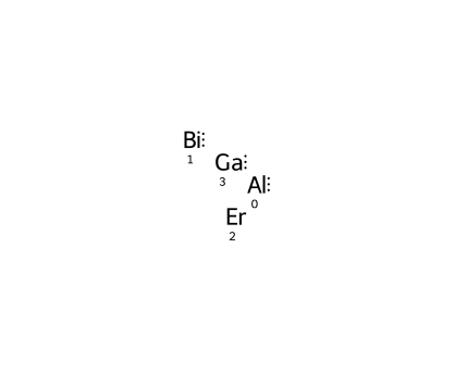 [Al].[Bi].[Er].[Ga]